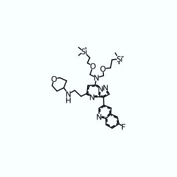 C[Si](C)(C)CCOCN(COCC[Si](C)(C)C)c1cc(CCNC2CCOCC2)nc2c(-c3cnc4ccc(F)cc4c3)cnn12